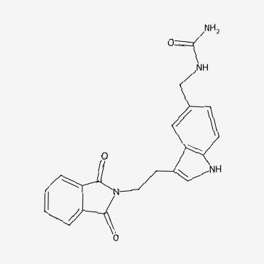 NC(=O)NCc1ccc2[nH]cc(CCN3C(=O)c4ccccc4C3=O)c2c1